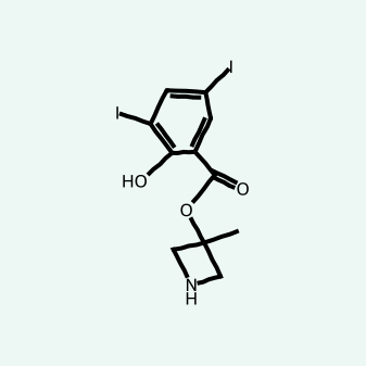 CC1(OC(=O)c2cc(I)cc(I)c2O)CNC1